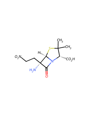 CC1(C)S[C@H]2N(C(=O)[C@@]2(N)CC[N+](=O)[O-])[C@H]1C(=O)O